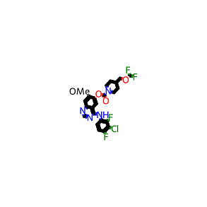 COc1cc2ncnc(Nc3ccc(F)c(Cl)c3F)c2cc1OC(=O)N1CCC(COC(F)F)CC1